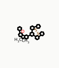 CC1(C)c2ccc(-c3cc(-c4cccc5c4sc4ccccc45)cc(-c4cccc5c4sc4ccccc45)c3)cc2-c2c1ccc1c2oc2ccccc21